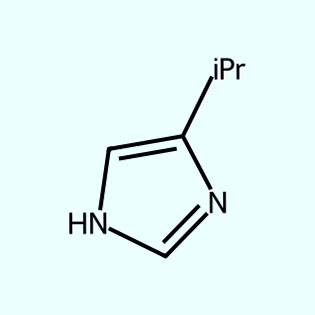 [CH2]C(C)c1c[nH]cn1